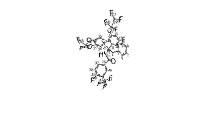 O=C(N[C@@](Cc1ccccc1)(c1cc(F)cc(OC(F)(F)C(F)F)c1)c1ccc2c(c1)OC(F)(F)O2)c1ccc(F)c(C(F)(F)F)c1